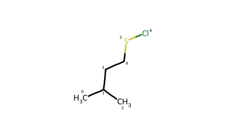 CC(C)CCSCl